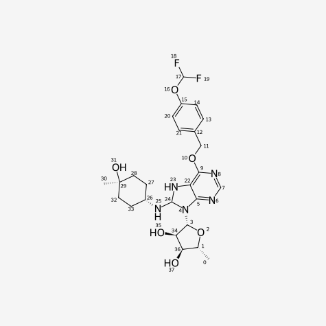 C[C@H]1O[C@@H](N2c3ncnc(OCc4ccc(OC(F)F)cc4)c3NC2N[C@H]2CC[C@](C)(O)CC2)[C@H](O)[C@@H]1O